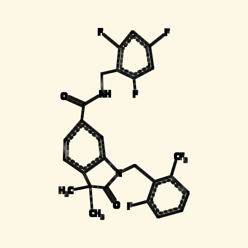 CC1(C)C(=O)N(Cc2c(F)cccc2C(F)(F)F)c2cc(C(=O)NCc3c(F)cc(F)cc3F)ccc21